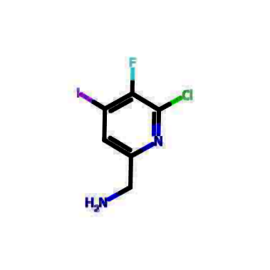 NCc1cc(I)c(F)c(Cl)n1